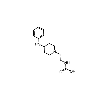 O=C(O)NCCN1CCC(Nc2ccccc2)CC1